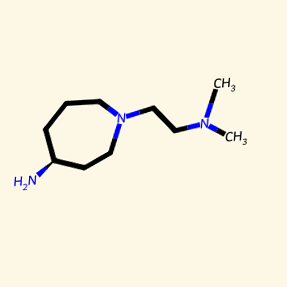 CN(C)CCN1CCC[C@H](N)CC1